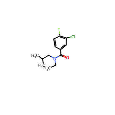 CCN(CC(C)C)C(=O)c1ccc(F)c(Cl)c1